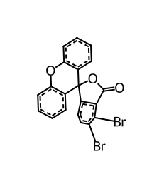 O=C1OC2(c3ccccc3Oc3ccccc32)c2ccc(Br)c(Br)c21